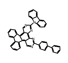 c1ccc(-c2ccc(-c3ncc4c(n3)c3nc(-n5c6ccccc6c6ccccc65)ncc3c3c5ccccc5c5ccccc5c43)cc2)cc1